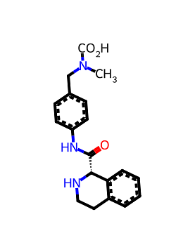 CN(Cc1ccc(NC(=O)[C@H]2NCCc3ccccc32)cc1)C(=O)O